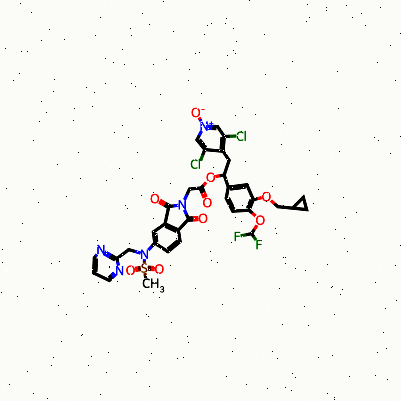 CS(=O)(=O)N(Cc1ncccn1)c1ccc2c(c1)C(=O)N(CC(=O)OC(Cc1c(Cl)c[n+]([O-])cc1Cl)c1ccc(OC(F)F)c(OCC3CC3)c1)C2=O